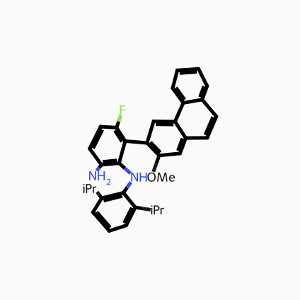 COc1cc2ccc3ccccc3c2cc1-c1c(F)ccc(N)c1Nc1c(C(C)C)cccc1C(C)C